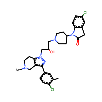 CC(=O)N1CCc2c(c(-c3ccc(Cl)c(C)c3)nn2CC(O)CN2CCC(N3C(=O)Cc4cc(Cl)ccc43)CC2)C1